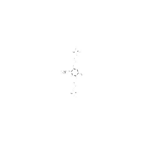 O=S(=O)([O-])CCCOc1cc(Br)c(OCCCS(=O)(=O)[O-])cc1Br.[Na+].[Na+]